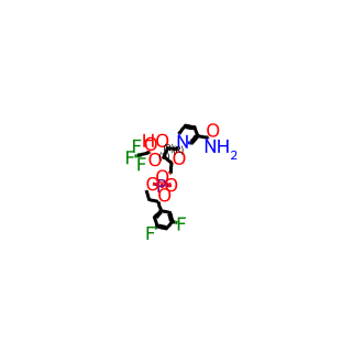 NC(=O)C1=CN([C@@H]2OC(COP3(=O)OCCC(c4cc(F)cc(F)c4)O3)[C@@H](OC(=O)C(F)(F)F)[C@H]2O)CC=C1